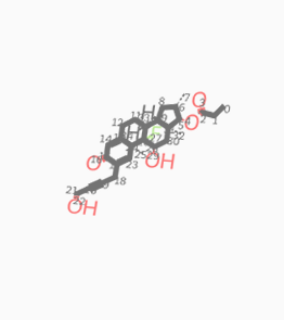 CCC(=O)O[C@H]1[C@@H](C)C[C@H]2[C@@H]3CCC4=CC(=O)C(CC#CCO)=C[C@]4(C)[C@@]3(F)[C@@H](O)C[C@@]21C